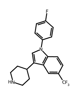 Fc1ccc(-n2cc(C3CCNCC3)c3cc(C(F)(F)F)ccc32)cc1